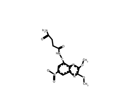 COc1nc2cc([N+](=O)[O-])cc(CNC(=O)CCC(N)=O)c2nc1OC